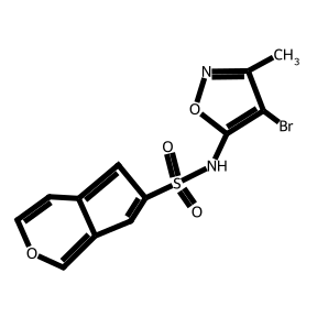 Cc1noc(NS(=O)(=O)c2cc3ccocc-3c2)c1Br